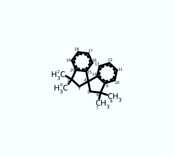 CC1(C)CC2(CC(C)(C)c3ccccc32)c2ccccc21